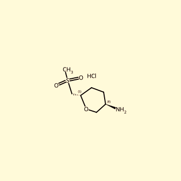 CS(=O)(=O)C[C@@H]1CC[C@@H](N)CO1.Cl